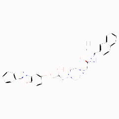 C[C@@H](NC(=O)CN1CCN(C[C@@H](O)COc2ccc3oc(-c4ccccc4)nc3c2)CC1)c1ccc2ccccc2c1